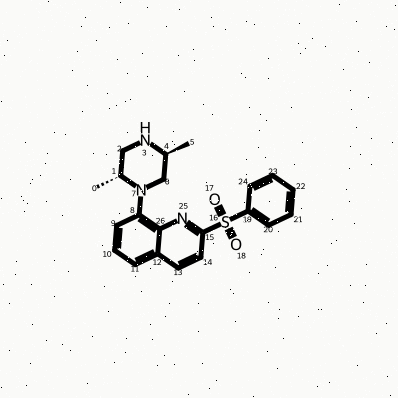 C[C@@H]1CN[C@@H](C)CN1c1cccc2ccc(S(=O)(=O)c3ccccc3)nc12